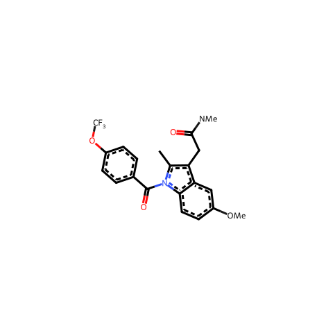 CNC(=O)Cc1c(C)n(C(=O)c2ccc(OC(F)(F)F)cc2)c2ccc(OC)cc12